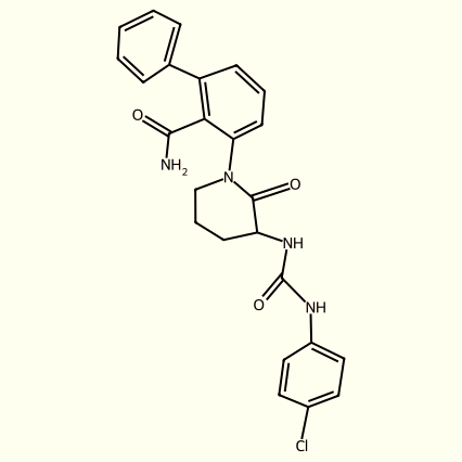 NC(=O)c1c(-c2ccccc2)cccc1N1CCCC(NC(=O)Nc2ccc(Cl)cc2)C1=O